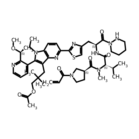 C=CC(=O)N1CC[C@H](C(=O)N(C)[C@H](C(=O)N[C@@H](Cc2csc(-c3ccc4c(n3)c(CC(C)(C)COC(C)=O)c(-c3cccnc3[C@H](C)OC)n4CC)n2)C(=O)N2CCCCN2)C(C)C)C1